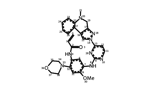 C=CC(=O)Nc1cc(Nc2nccc(-n3cc4c(n3)CN(C)c3ccccc3-4)n2)c(OC)cc1N1CCOCC1